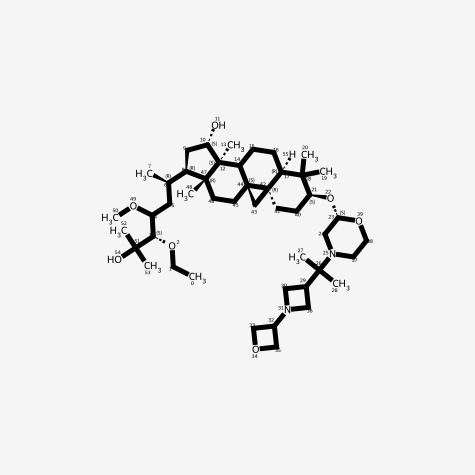 CCO[C@@H](C(C[C@@H](C)[C@H]1C[C@H](O)[C@@]2(C)C3CC[C@H]4C(C)(C)[C@@H](O[C@H]5CN(C(C)(C)C6CN(C7COC7)C6)CCO5)CC[C@@]45C[C@@]35CC[C@]12C)OC)C(C)(C)O